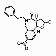 O=C1C[C@H]2C(=O)N(CCc3ccccc3)Cc3cc([N+](=O)[O-])ccc3[C@@H]2O1